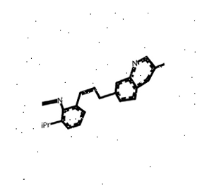 C=Nc1c(/C=C\Cc2ccc3cc(C)cnc3c2)cccc1C(C)C